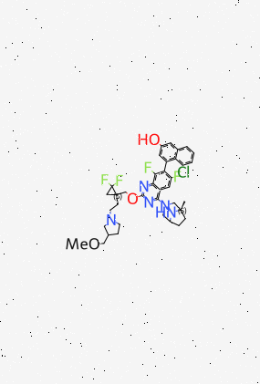 COCC1CCN(CC[C@@]2(COc3nc(N4CC5CC[C@@](C)(C4)N5)c4cc(F)c(-c5cc(O)cc6cccc(Cl)c56)c(F)c4n3)CC2(F)F)C1